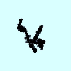 COC1=CC(C)C(C(NCCCC[C@H](NC(=O)[C@H](Cc2ccc(OCc3ccccc3)cc2)NC(=O)CCC(=O)NCCCO[C@H]2CC[C@@]3(C)C(=CC[C@H]4[C@@H]5CC[C@H]([C@H](C)CCCC(C)C)[C@@]5(C)CC[C@@H]43)C2)C(=O)Nc2ccc(COC(=O)Oc3ccc(N=O)cc3)cc2)(c2ccccc2)c2ccccc2)C=C1